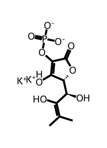 CC(C)=C(O)[C@H](O)[C@H]1OC(=O)C(OP(=O)([O-])[O-])=C1O.[K+].[K+]